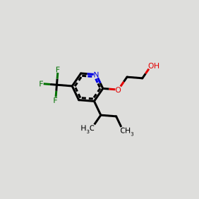 CCC(C)c1cc(C(F)(F)F)cnc1OCCO